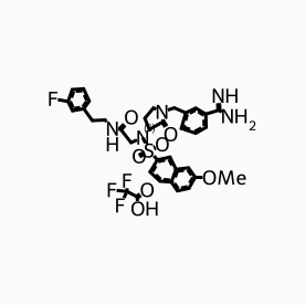 COc1ccc2ccc(S(=O)(=O)N(CC(=O)NCCc3cccc(F)c3)[C@H]3CCN(Cc4cccc(C(=N)N)c4)C3=O)cc2c1.O=C(O)C(F)(F)F